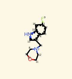 Fc1ccc2c(CN3CCOCC3)c[nH]c2c1